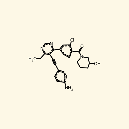 CCc1ncnc(-c2ccc(C(=O)N3CCCC(O)C3)c(Cl)c2)c1C#Cc1ccc(N)nc1